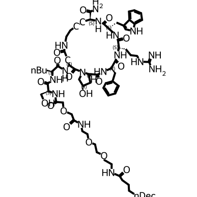 CCCCCCCCCCCCCC(=O)NCCOCCOCCNC(=O)COCC(=O)N[C@@H](CO)C(=O)N[C@@H](CCCC)C(=O)N[C@H]1CC(=O)NCCCC[C@@H](C(N)=O)NC(=O)[C@H](Cc2c[nH]c3ccccc23)NC(=O)[C@H](CCCNC(=N)N)NC(=O)[C@@H](Cc2ccccc2)NC(=O)[C@@H]2C[C@@H](O)CN2C1=O